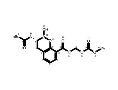 CCCCC(=O)N[C@H]1Cc2cccc(C(=O)OCOC(=O)OC(C)C)c2OB1O